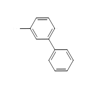 Cc1[c]ccc(-c2ccccc2)[c]1